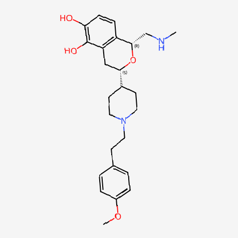 CNC[C@@H]1O[C@H](C2CCN(CCc3ccc(OC)cc3)CC2)Cc2c1ccc(O)c2O